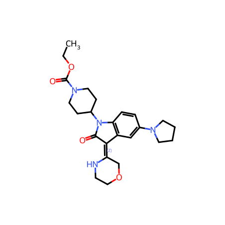 CCOC(=O)N1CCC(N2C(=O)/C(=C3/COCCN3)c3cc(N4CCCC4)ccc32)CC1